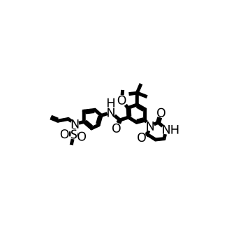 C=CCN(c1ccc(NC(=O)c2cc(N3C(=O)CCNC3=O)cc(C(C)(C)C)c2OC)cc1)S(C)(=O)=O